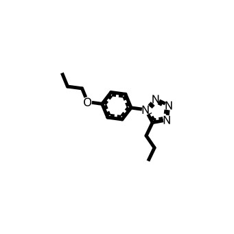 CCCOc1ccc(-n2nnnc2CCC)cc1